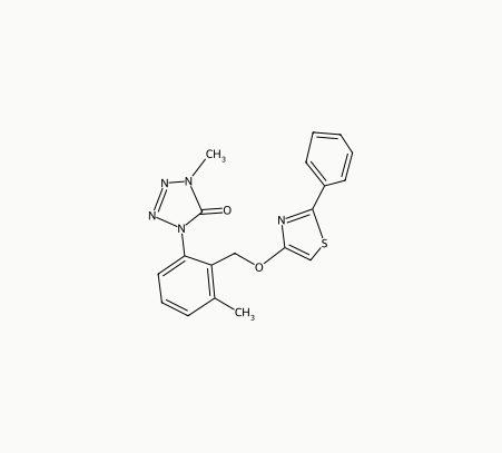 Cc1cccc(-n2nnn(C)c2=O)c1COc1csc(-c2ccccc2)n1